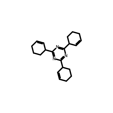 C1=CC(c2nc(C3C=CCCC3)nc(C3C=CCCC3)n2)CCC1